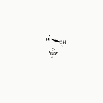 OO.[F-].[Na+]